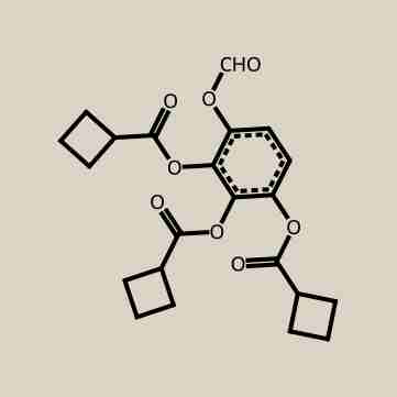 O=COc1ccc(OC(=O)C2CCC2)c(OC(=O)C2CCC2)c1OC(=O)C1CCC1